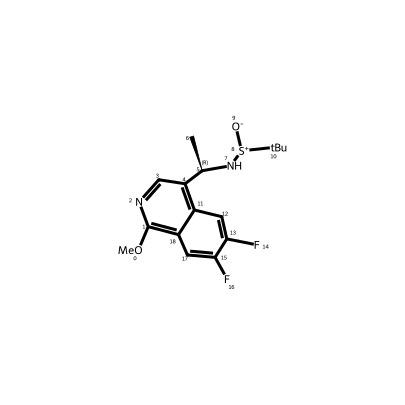 COc1ncc([C@@H](C)N[S+]([O-])C(C)(C)C)c2cc(F)c(F)cc12